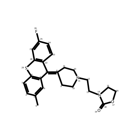 Cc1ccc2c(c1)C(=C1CCN(CCN3CCOC3=O)CC1)c1ccc(F)cc1S2